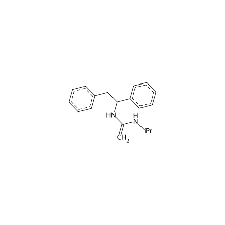 C=C(NC(C)C)NC(Cc1ccccc1)c1ccccc1